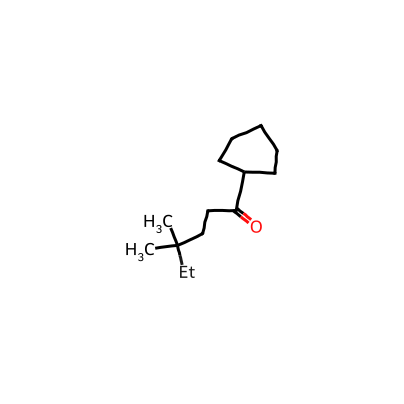 CCC(C)(C)CCC(=O)C1CCCCC1